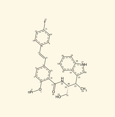 CCCOc1ccc(C=Cc2ccc(F)cc2)cc1C(=O)N[C@@H](CO)C(C)c1c[nH]c2ccccc12